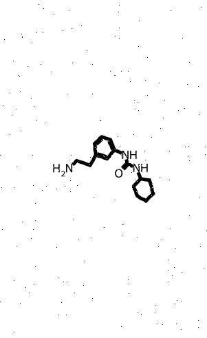 NCCc1cccc(NC(=O)NC2CCCCC2)c1